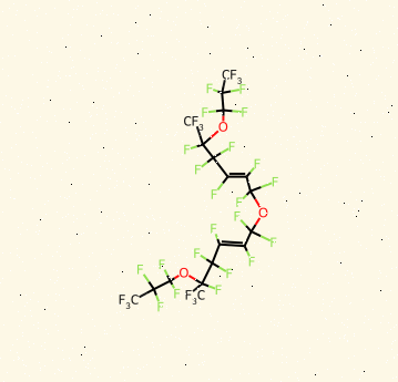 FC(=C(F)C(F)(F)C(F)(OC(F)(F)C(F)(F)C(F)(F)F)C(F)(F)F)C(F)(F)OC(F)(F)C(F)=C(F)C(F)(F)C(F)(OC(F)(F)C(F)(F)C(F)(F)F)C(F)(F)F